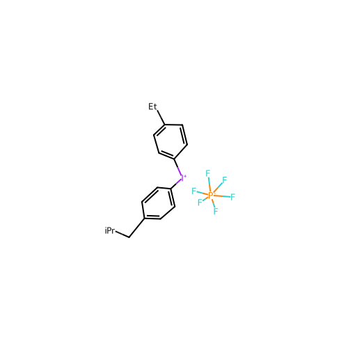 CCc1ccc([I+]c2ccc(CC(C)C)cc2)cc1.F[P-](F)(F)(F)(F)F